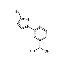 CCCCc1ccn(-c2cc(C(O)O)ccn2)n1